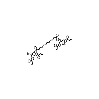 C=CC(=O)OCC(CC)(COC(=O)C=C)COC(=O)CCCCCCCCCCC(=O)OCC(CC)(COC(=O)C=C)COC(=O)C=C